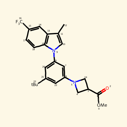 COC(=O)C1CN(c2cc(-n3cc(C)c4cc(C(F)(F)F)ccc43)cc(C(C)(C)C)c2)C1